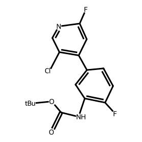 CC(C)(C)OC(=O)Nc1cc(-c2cc(F)ncc2Cl)ccc1F